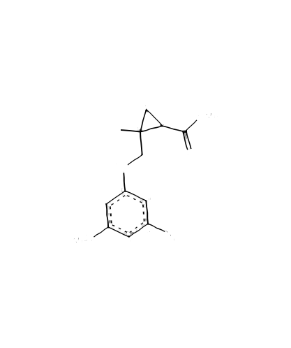 COC(=O)C1CC1(F)COc1cc(OC)cc([N+](=O)[O-])c1